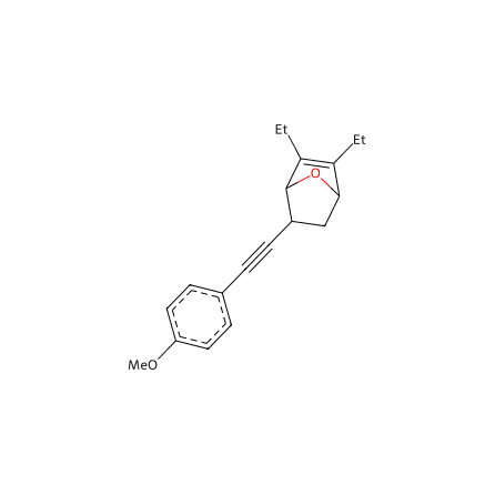 CCC1=C(CC)C2OC1CC2C#Cc1ccc(OC)cc1